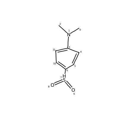 CN(C)c1ccc([SH](=O)=O)cc1